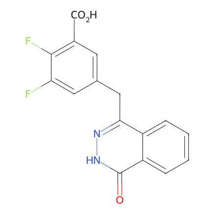 O=C(O)c1cc(Cc2n[nH]c(=O)c3ccccc23)cc(F)c1F